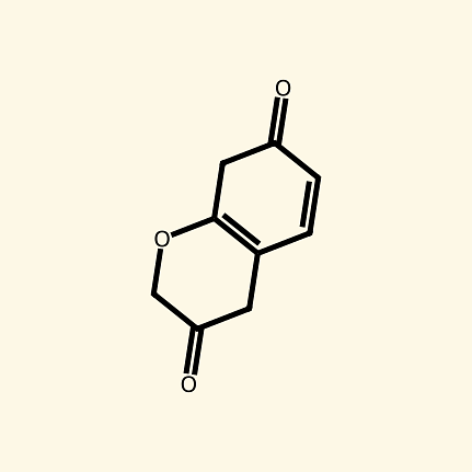 O=C1C=CC2=C(C1)OCC(=O)C2